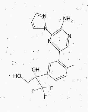 Cc1ccc([C@](O)(CO)C(F)(F)F)cc1-c1cnc(N)c(-n2cccn2)n1